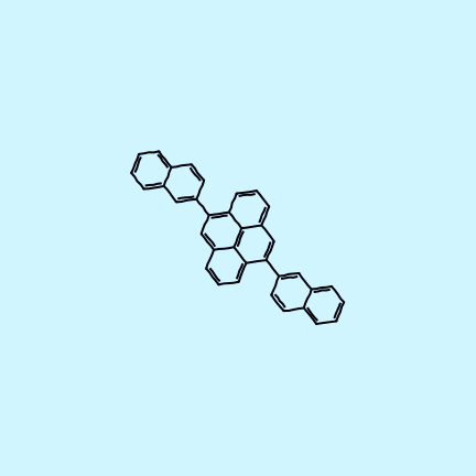 c1ccc2cc(-c3cc4cccc5c(-c6ccc7ccccc7c6)cc6cccc3c6c45)ccc2c1